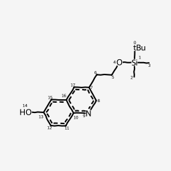 CC(C)(C)[Si](C)(C)OCCc1cnc2ccc(O)cc2c1